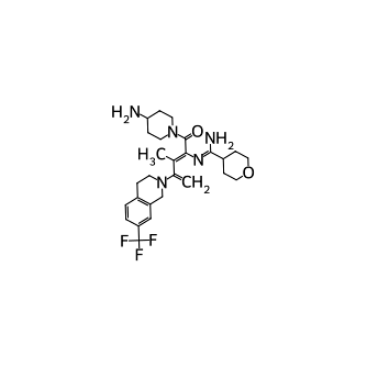 C=C(/C(C)=C(\N=C(/N)C1CCOCC1)C(=O)N1CCC(N)CC1)N1CCc2ccc(C(F)(F)F)cc2C1